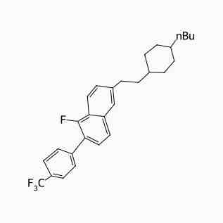 CCCCC1CCC(CCc2ccc3c(F)c(-c4ccc(C(F)(F)F)cc4)ccc3c2)CC1